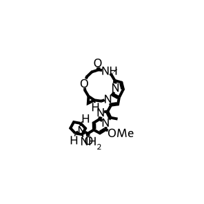 COc1cc(C(=O)N2[C@H]3CC[C@@H]2[C@H](N)C3)cc2nc(-c3cc4ccc5nc4n3C[C@@H]3CC3COCCC(=O)N[C@@H]5C)c(C)n12